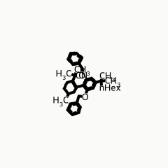 CCCCCCC(C)(C)c1cc(OCc2ccccc2)c(C2=C(C(C)(C)C#N)CCC(C)C2)c(OCc2ccccc2)c1